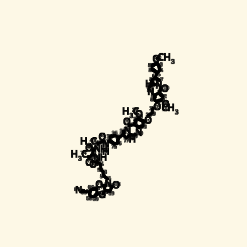 COc1ccc(C2=CN3C(=O)c4cc(OC)c(OCCCOc5cc6c(cc5OC)C(=O)N5C=C(c7ccc(NC(=O)C(C)NC(=O)C(NC(=O)CCCCCN8C(=O)C=C(Oc9ccc(C#N)cc9)C8=O)C(C)C)cc7)C[C@H]5C=N6)cc4N=C[C@@H]3C2)cc1